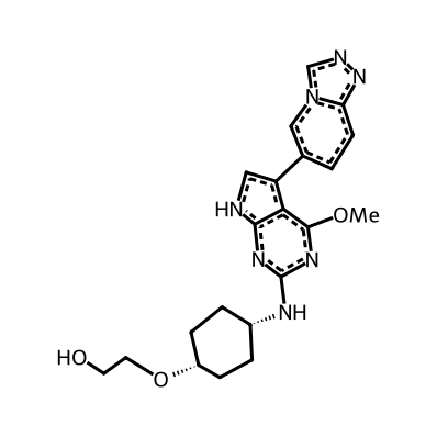 COc1nc(N[C@H]2CC[C@@H](OCCO)CC2)nc2[nH]cc(-c3ccc4nncn4c3)c12